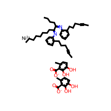 CC#CCCCc1ccccc1N=C(CCCC)C(CCCCCCCC)=Nc1ccccc1CCCC#CC.Cc1ccc(O)c(O)c1C(=O)[O-].Cc1ccc(O)c(O)c1C(=O)[O-].[Ni+2]